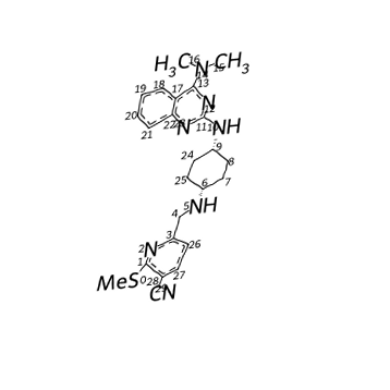 CSc1nc(CN[C@H]2CC[C@@H](Nc3nc(N(C)C)c4ccccc4n3)CC2)ccc1C#N